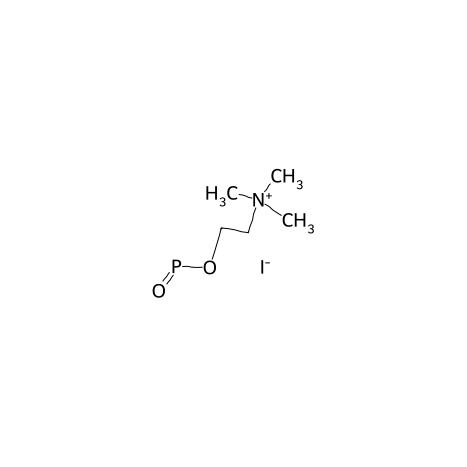 C[N+](C)(C)CCOP=O.[I-]